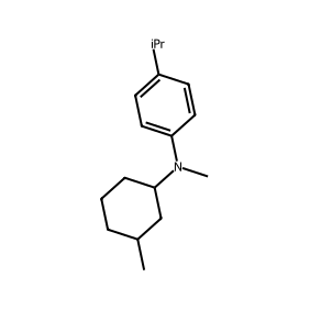 CC1CCCC(N(C)c2ccc(C(C)C)cc2)C1